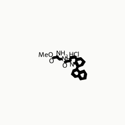 COC(=O)C(N)CNC(=O)c1ccc2cccc(-c3cccc4ccccc34)c2n1.Cl